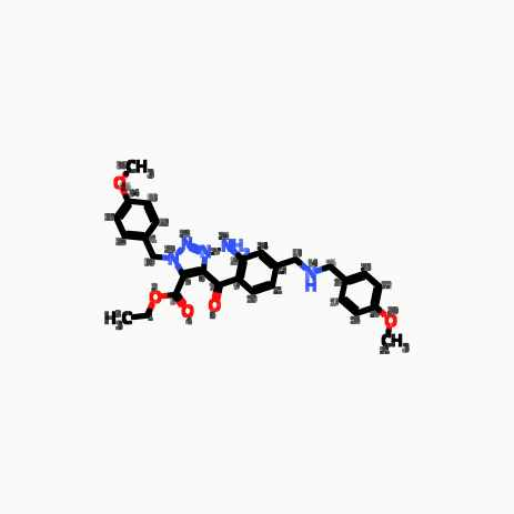 CCOC(=O)c1c(C(=O)c2ccc(CNCc3ccc(OC)cc3)cc2N)nnn1Cc1ccc(OC)cc1